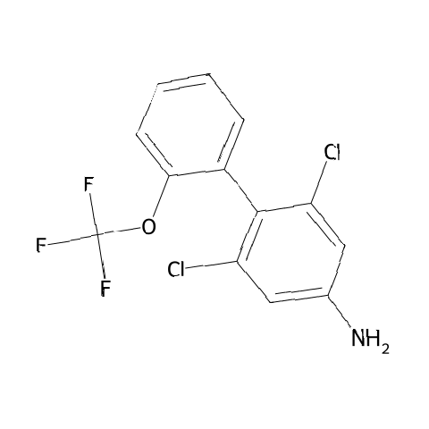 Nc1cc(Cl)c(-c2ccccc2OC(F)(F)F)c(Cl)c1